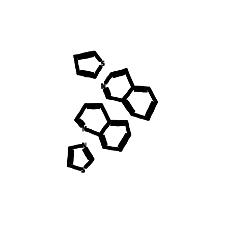 c1ccc2cnccc2c1.c1ccc2ncccc2c1.c1ccsc1.c1cscn1